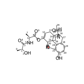 C[C@H](O)C(=O)N[C@@H](C)C(=O)OC1=CC[C@@]2(O)[C@H]3Cc4ccc(O)c5c4C2(CCN3C)[C@H]1O5